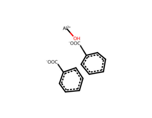 O=C([O-])c1ccccc1.O=C([O-])c1ccccc1.[OH][Al+2]